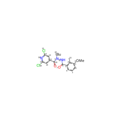 COc1cccc(C(=O)NN(C(=O)c2cc(Cl)nc(Cl)c2)C(C)(C)C)c1C